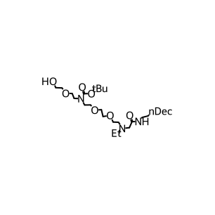 CCCCCCCCCCCCNC(=O)CN(CC)CCOCCOCCN(CCOCCO)C(=O)OC(C)(C)C